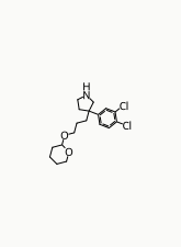 Clc1ccc(C2(CCCOC3CCCCO3)CCNC2)cc1Cl